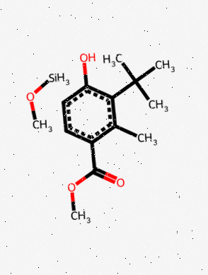 COC(=O)c1ccc(O)c(C(C)(C)C)c1C.CO[SiH3]